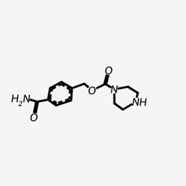 NC(=O)c1ccc(COC(=O)N2CCNCC2)cc1